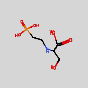 O=C(O)C(CO)NCCP(=O)(O)O